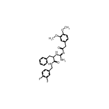 COc1ccc(CC(=O)N=C(N)NC(Cc2ccccc2)C(=O)NCc2ccc(F)c(F)c2)cc1OC